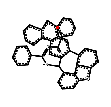 c1ccc(C2=NC(c3cccc4oc5cccc(-c6ccc7c(ccc8ccccc87)c6)c5c34)NC(c3ccccc3)=N2)cc1